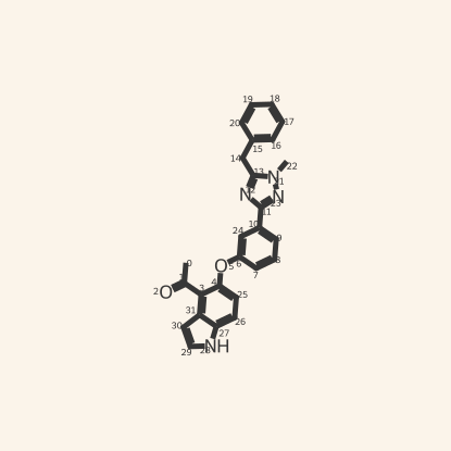 CC(=O)c1c(Oc2cccc(-c3nc(Cc4ccccc4)n(C)n3)c2)ccc2[nH]ccc12